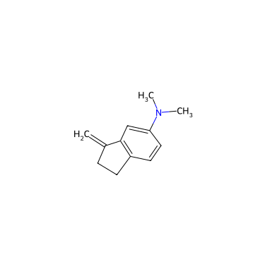 C=C1CCc2ccc(N(C)C)cc21